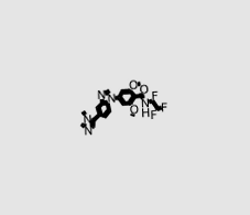 COc1cc(-n2cnc3cc(-c4cncn4C)ccc32)cc(OC)c1C(=O)NC(F)C(F)F